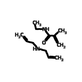 C=C(C)C(=O)NCC.C=CCNCC=C